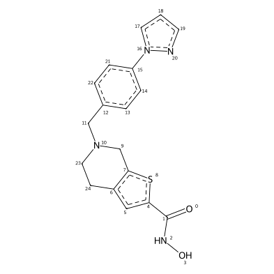 O=C(NO)c1cc2c(s1)CN(Cc1ccc(-n3cccn3)cc1)CC2